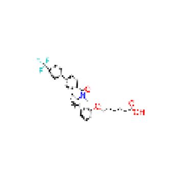 [2H]C1(N(Cc2ccccc2OCCCCCC(=O)O)C(=O)c2ccc(-c3ccc(C(F)(F)F)cc3)cc2)CC1